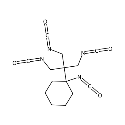 O=C=NCC(CN=C=O)(CN=C=O)C1(N=C=O)CCCCC1